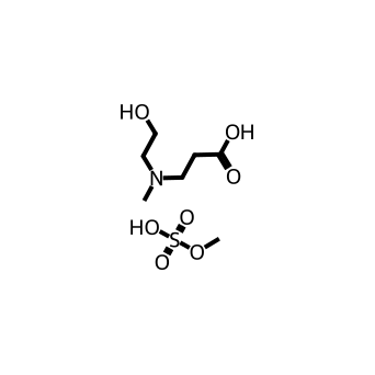 CN(CCO)CCC(=O)O.COS(=O)(=O)O